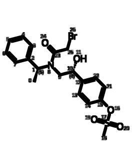 C[C@@H](c1ccccc1)N(C[C@H](O)c1ccc(OS(C)(=O)=O)cc1)C(=O)CBr